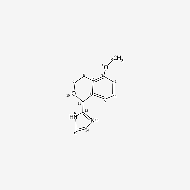 COc1cccc2c1CCOC2c1ncc[nH]1